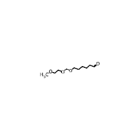 COCCOCOCCCCCC=O